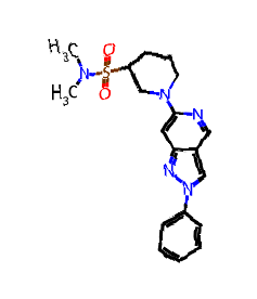 CN(C)S(=O)(=O)C1CCCN(c2cc3nn(-c4ccccc4)cc3cn2)C1